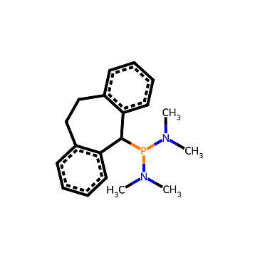 CN(C)P(C1c2ccccc2CCc2ccccc21)N(C)C